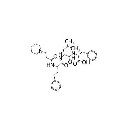 CC(C)C[C@H](NC(=O)[C@H](CCc1ccccc1)NC(=O)CCN1CCCCC1)C(=O)N[C@@H](Cc1ccccc1)C(=O)O